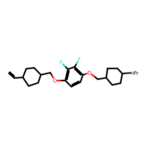 C=CC1CCC(COc2ccc(OCC3CCC(CCC)CC3)c(F)c2F)CC1